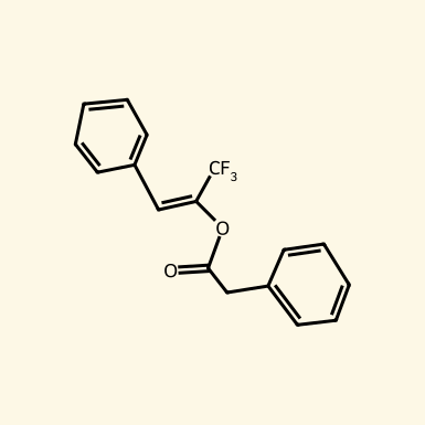 O=C(Cc1ccccc1)OC(=Cc1ccccc1)C(F)(F)F